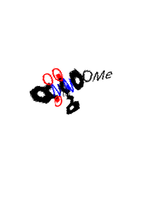 COc1ccc(N2C(=O)[C@H](N3C(=O)c4ccccc4C3=O)[C@@H]2C=Cc2ccccc2)cc1